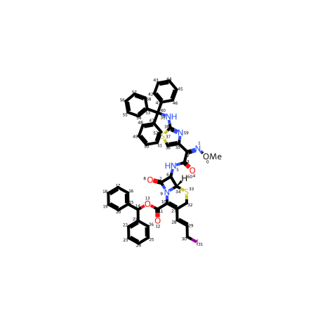 CO/N=C(\C(=O)NC1C(=O)N2C(C(=O)OC(c3ccccc3)c3ccccc3)=C(/C=C/CI)CS[C@@H]12)c1csc(NC(c2ccccc2)(c2ccccc2)c2ccccc2)n1